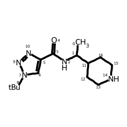 CC(NC(=O)c1cn(C(C)(C)C)nn1)C1CCNCC1